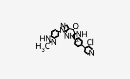 Cc1nc2cc(-n3ncc(C(=O)c4cc5ccc(-c6ccncc6Cl)cc5[nH]4)c3N)ccc2[nH]1